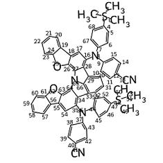 CS(C)(C)c1ccc(N(c2ccc(C#N)cc2)c2cc3c4ccccc4oc3c3c2c2cccc4c5c(N(c6ccc(C#N)cc6)c6ccc(S(C)(C)C)cc6)cc6c7ccccc7oc6c5n3c24)cc1